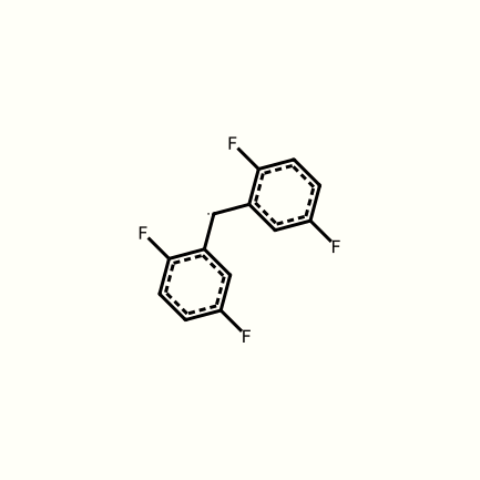 Fc1ccc(F)c([CH]c2cc(F)ccc2F)c1